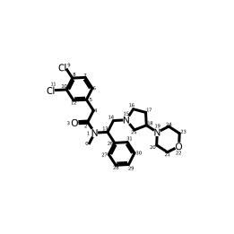 CN(C(=O)Cc1ccc(Cl)c(Cl)c1)C(CN1CCC(N2CCOCC2)C1)c1ccccc1